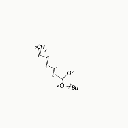 C=CC=CC=CC(=O)OCCCC